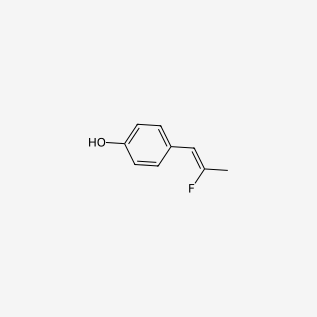 CC(F)=Cc1ccc(O)cc1